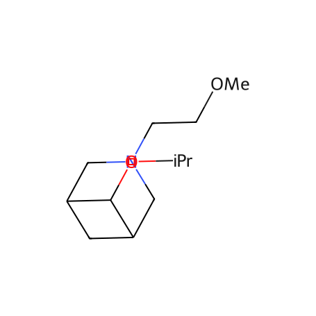 COCCN1CC2CC(C1)C2OC(C)C